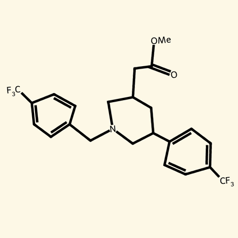 COC(=O)CC1CC(c2ccc(C(F)(F)F)cc2)CN(Cc2ccc(C(F)(F)F)cc2)C1